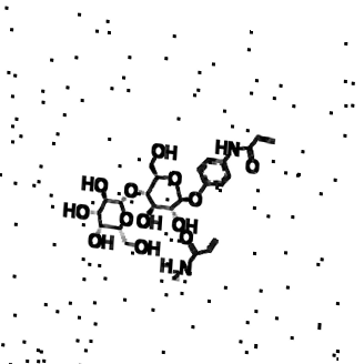 C=CC(=O)Nc1ccc(O[C@@H]2O[C@H](CO)[C@@H](O[C@@H]3O[C@H](CO)[C@H](O)[C@H](O)[C@H]3O)[C@H](O)[C@H]2O)cc1.C=CC(N)=O